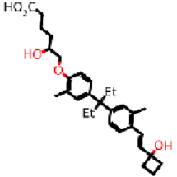 CCC(CC)(c1ccc(C=CC2(O)CCC2)c(C)c1)c1ccc(OCC(O)CCCC(=O)O)c(C)c1